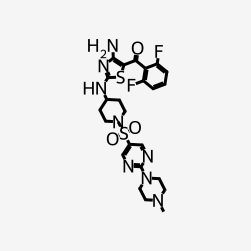 CN1CCN(c2ncc(S(=O)(=O)N3CCC(Nc4nc(N)c(C(=O)c5c(F)cccc5F)s4)CC3)cn2)CC1